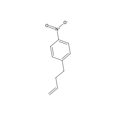 C=C[CH]Cc1ccc([N+](=O)[O-])cc1